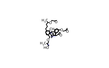 C/C(=C\O)COCc1ccc(CCCC(C)OCC2CO2)c(C)c1CC1=C/c2cc(OCC3CO3)ccc2\C=C/C(OCC2CO2)=C/1